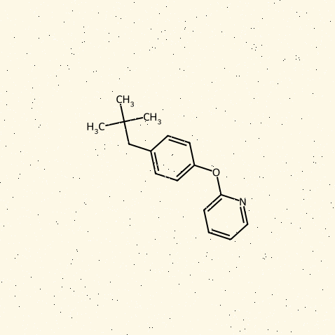 CC(C)(C)Cc1ccc(Oc2ccccn2)cc1